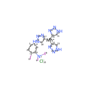 Ic1ccccc1N(I)I.[Cl-].c1[nH]nn[c]1[Mn+]([c]1c[nH]nn1)[c]1c[nH]nn1